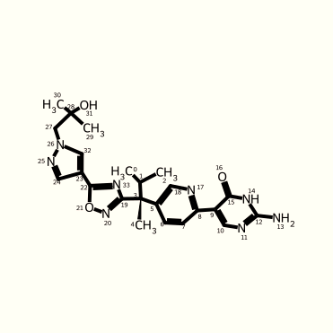 CC(C)[C@](C)(c1ccc(-c2cnc(N)[nH]c2=O)nc1)c1noc(-c2cnn(CC(C)(C)O)c2)n1